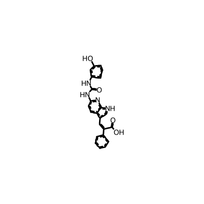 O=C(Nc1cccc(O)c1)Nc1ccc2c(C=C(C(=O)O)c3ccccc3)c[nH]c2n1